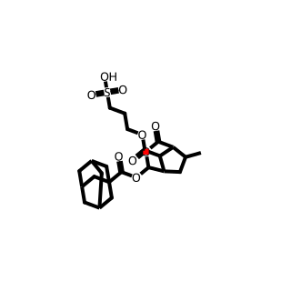 CC1CC2C(OC(=O)C34CC5CC(CC(C5)C3)C4)OC(=O)C1C2C(=O)OCCCS(=O)(=O)O